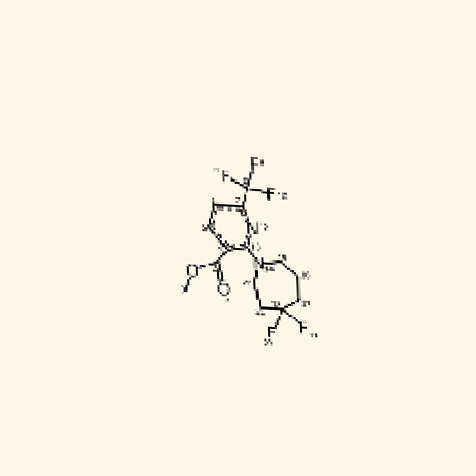 COC(=O)c1ccc(C(F)(F)F)nc1N1CCCC(F)(F)CC1